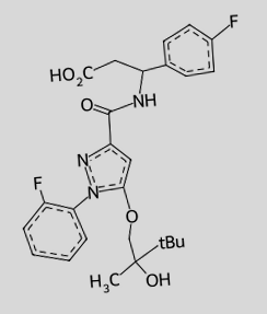 CC(C)(C)C(C)(O)COc1cc(C(=O)NC(CC(=O)O)c2ccc(F)cc2)nn1-c1ccccc1F